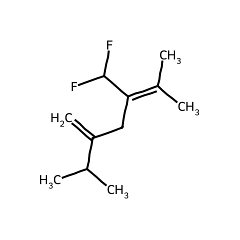 C=C(CC(=C(C)C)C(F)F)C(C)C